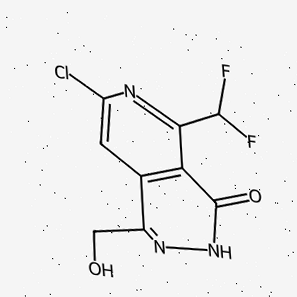 O=c1[nH]nc(CO)c2cc(Cl)nc(C(F)F)c12